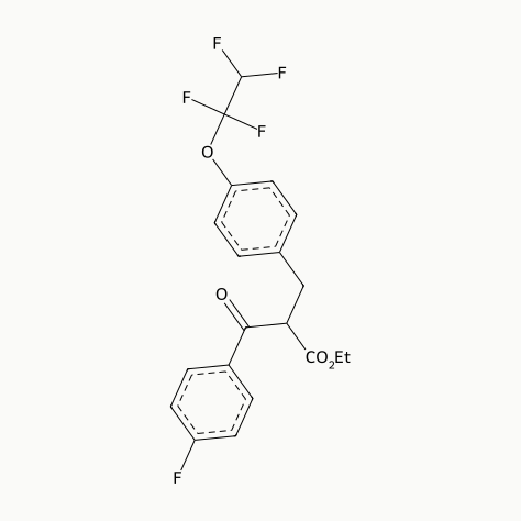 CCOC(=O)C(Cc1ccc(OC(F)(F)C(F)F)cc1)C(=O)c1ccc(F)cc1